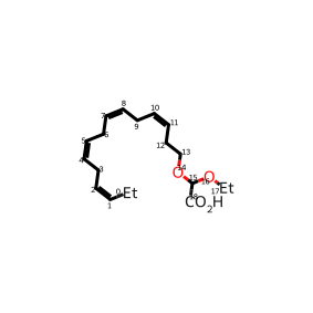 CC/C=C\C/C=C\C/C=C\C/C=C\CCOC(OCC)C(=O)O